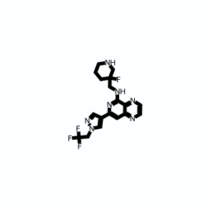 FC(F)(F)Cn1cc(-c2cc3nccnc3c(NCC3(F)CCCNC3)n2)cn1